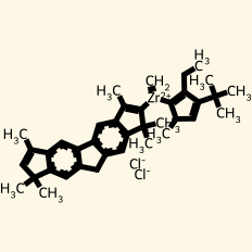 [CH2]=[Zr+2]([C]1=C(CC)C(C(C)(C)C)=CC1C)[C]1=C(C)c2cc3c(cc2C1(C)C)Cc1cc2c(cc1-3)C(C)=CC2(C)C.[Cl-].[Cl-]